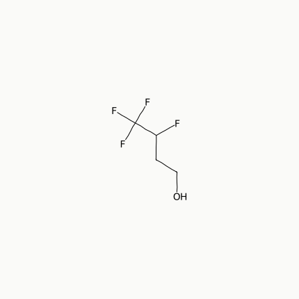 OCCC(F)C(F)(F)F